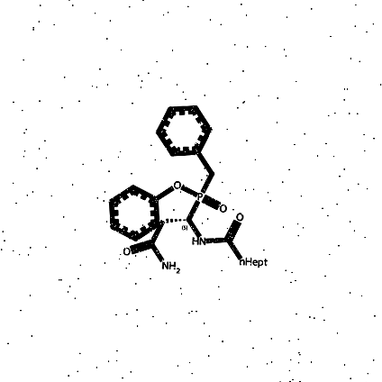 CCCCCCCC(=O)N[C@H](CC(N)=O)P(=O)(Cc1ccccc1)Oc1ccccc1